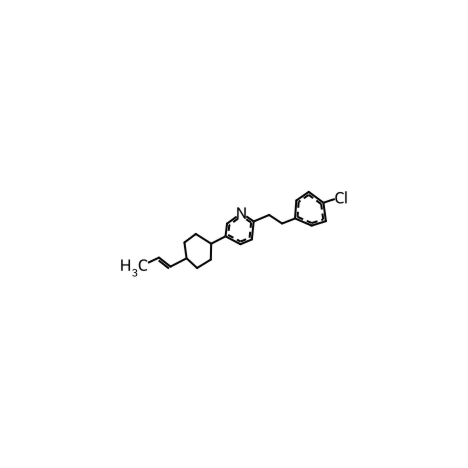 C/C=C/C1CCC(c2ccc(CCc3ccc(Cl)cc3)nc2)CC1